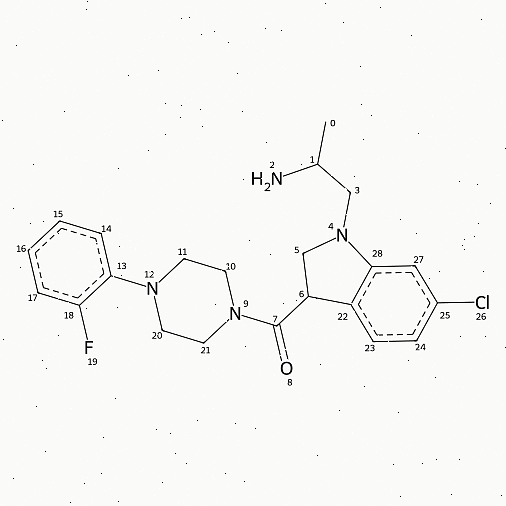 CC(N)CN1CC(C(=O)N2CCN(c3ccccc3F)CC2)c2ccc(Cl)cc21